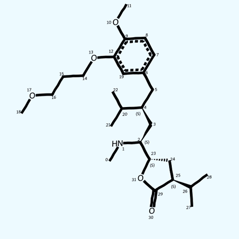 CN[C@@H](C[C@H](Cc1ccc(OC)c(OCCCOC)c1)C(C)C)[C@@H]1C[C@@H](C(C)C)C(=O)O1